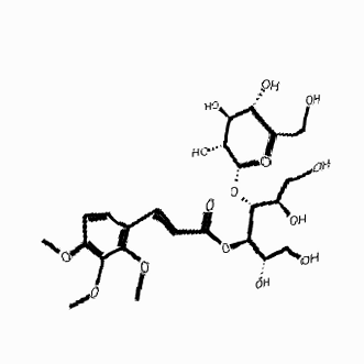 COc1ccc(/C=C/C(=O)O[C@@H]([C@H](O[C@H]2O[C@H](CO)[C@@H](O)[C@H](O)[C@H]2O)[C@H](O)CO)[C@@H](O)CO)c(OC)c1OC